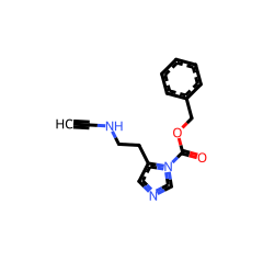 C#CNCCc1cncn1C(=O)OCc1ccccc1